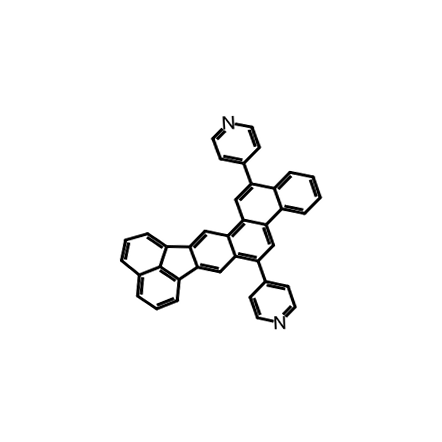 c1cc2c3c(cccc3c1)-c1cc3c(cc1-2)c(-c1ccncc1)cc1c2ccccc2c(-c2ccncc2)cc31